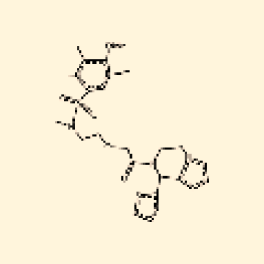 COc1c(C)cc(S(=O)(=O)N(C)CCOCC(=O)N2CCn3cccc3C2c2cccs2)c(C)c1C